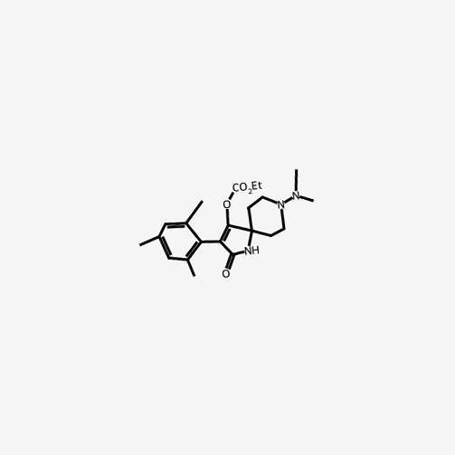 CCOC(=O)OC1=C(c2c(C)cc(C)cc2C)C(=O)NC12CCN(N(C)C)CC2